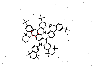 CC(C)(C)c1ccc2c(c1)-c1ccc3c(c1C1=CC12)N(c1ccc(C(C)(C)C)cc1-c1ccccc1)c1cc(N2c4ccc(C(C)(C)C)cc4C4(C)CCCCC24C)cc2c1B3c1cc3c(cc1N2c1ccc2c(c1)C(C)(C)CCC2(C)C)C(C)(C)CCC3(C)C